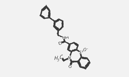 CCN1C(=O)c2ccccc2[S+]([O-])c2ccc(C(=O)NCc3cccc(-c4ccccc4)c3)cc21